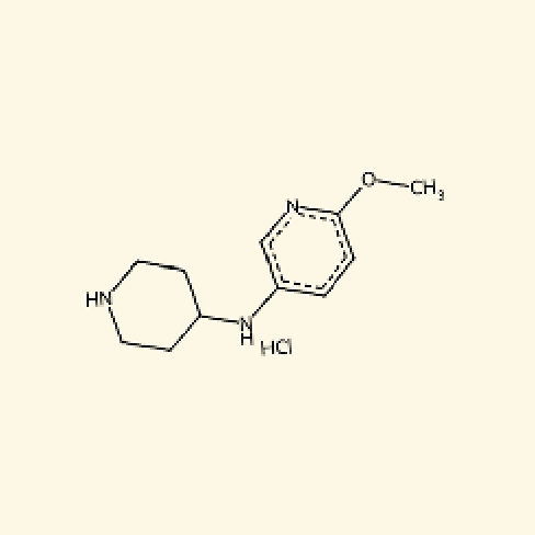 COc1ccc(NC2CCNCC2)cn1.Cl